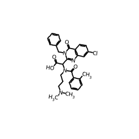 Cc1ccccc1C(=O)N(CCCN(C)C)C(C(=O)O)c1nc2cc(Cl)ccc2c(=O)n1Cc1ccccc1